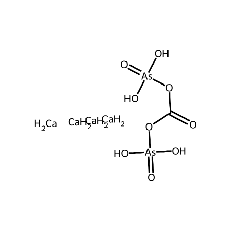 O=C(O[As](=O)(O)O)O[As](=O)(O)O.[CaH2].[CaH2].[CaH2].[CaH2]